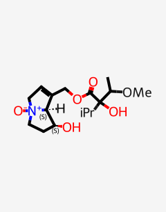 COC(C)C(O)(C(=O)OCC1=CC[N+]2([O-])CC[C@H](O)[C@H]12)C(C)C